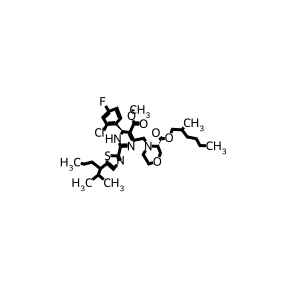 CCCCC(C)COC(=O)[C@@H]1COCCN1CC1=C(C(=O)OC)[C@H](c2ccc(F)cc2Cl)NC(c2ncc(C(CCC)C(C)C)s2)=N1